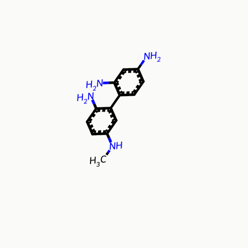 CNc1ccc(N)c(-c2ccc(N)cc2N)c1